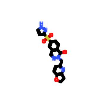 O=c1c2ccc(S(=O)(=O)c3cc[nH]n3)cc2cnn1Cc1ccc2c(n1)CCO2